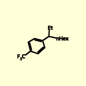 CCCCCCC(CC)c1ccc(C(F)(F)F)cc1